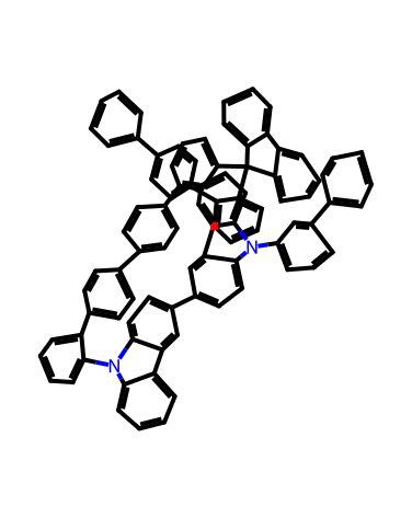 c1ccc(-c2ccc(-c3ccccc3C3(c4cccc(-c5ccc(-c6ccc(-c7ccccc7-n7c8ccccc8c8cc(-c9ccc%10c(c9)c9ccccc9n%10-c9cccc(-c%10ccccc%10)c9)ccc87)cc6)cc5)c4)c4ccccc4-c4ccccc43)cc2)cc1